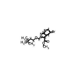 COC(=O)c1c2cc(Br)cnc2nn1COCC[Si](C)(C)C